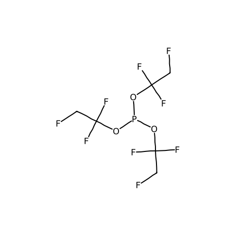 FCC(F)(F)OP(OC(F)(F)CF)OC(F)(F)CF